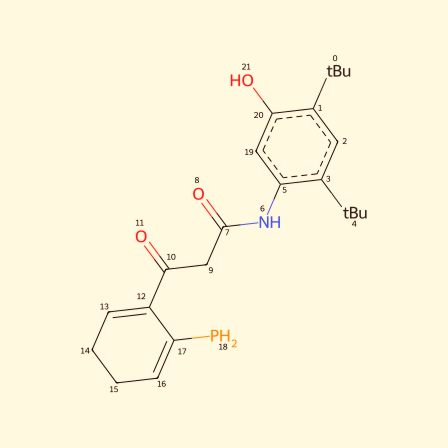 CC(C)(C)c1cc(C(C)(C)C)c(NC(=O)CC(=O)C2=CCCC=C2P)cc1O